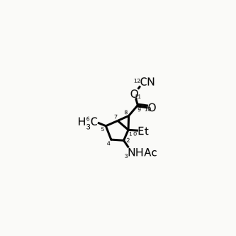 CCC12C(NC(C)=O)CC(C)C1C2C(=O)OC#N